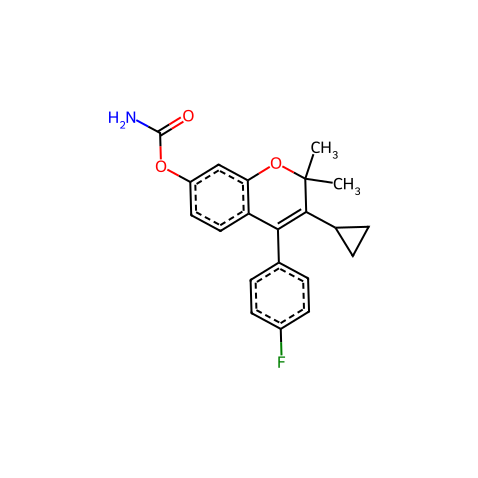 CC1(C)Oc2cc(OC(N)=O)ccc2C(c2ccc(F)cc2)=C1C1CC1